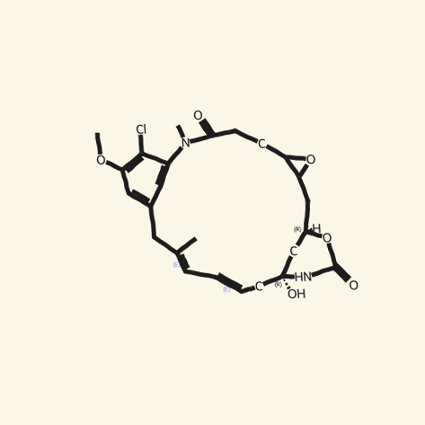 COc1cc2cc(c1Cl)N(C)C(=O)CCC1OC1C[C@@H]1C[C@](O)(C/C=C/C=C(\C)C2)NC(=O)O1